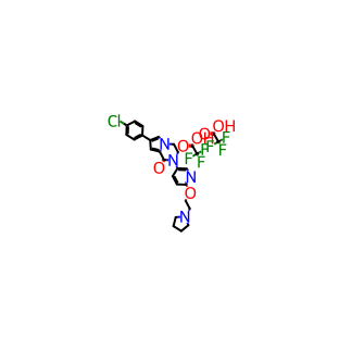 O=C(O)C(F)(F)F.O=C(O)C(F)(F)F.O=C1c2cc(-c3ccc(Cl)cc3)cn2CCN1c1ccc(OCCN2CCCC2)nc1